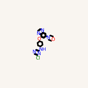 Clc1cncc(N[C@H]2CC[C@@H](Oc3cc(N4CCOCC4)cc4nccnc34)CC2)n1